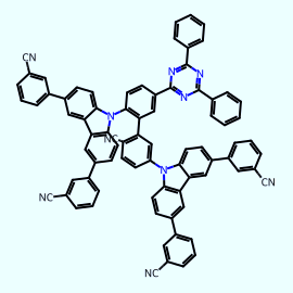 N#Cc1cccc(-c2ccc3c(c2)c2cc(-c4cccc(C#N)c4)ccc2n3-c2ccc(C#N)c(-c3cc(-c4nc(-c5ccccc5)nc(-c5ccccc5)n4)ccc3-n3c4ccc(-c5cccc(C#N)c5)cc4c4cc(-c5cccc(C#N)c5)ccc43)c2)c1